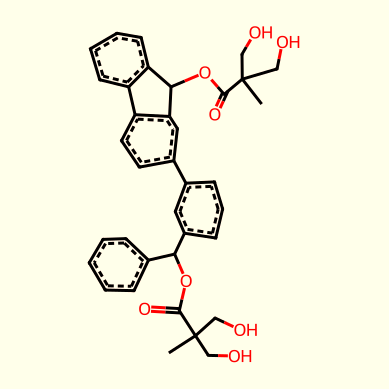 CC(CO)(CO)C(=O)OC(c1ccccc1)c1cccc(-c2ccc3c(c2)C(OC(=O)C(C)(CO)CO)c2ccccc2-3)c1